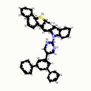 c1ccc(-c2cc(-c3ccccc3)cc(-c3cnc(-n4c5ccccc5c5cc6sc7c8ccccc8ccc7c6cc54)nc3)c2)cc1